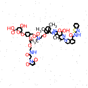 Cc1c(-c2ccc(N3CCc4cccc(C(=O)Nc5nc6ccccc6s5)c4C3)nc2C(=O)O)cnn1CC12CC3(C)CC(C)(C1)CC(OCCN(C)C(=O)OCc1ccc(O[C@H]4C[C@@H](O)C[C@@H](C(=O)O)O4)cc1OCCOCCNC(=O)CCN1C(=O)C=CC1=O)(C3)C2